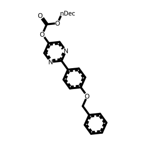 CCCCCCCCCCOC(=O)Oc1cnc(-c2ccc(OCc3ccccc3)cc2)nc1